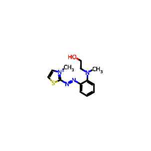 CN(CCO)c1ccccc1/N=N/c1scc[n+]1C